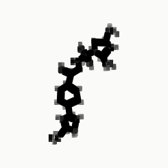 Cc1cn(S(=O)(=O)NCC(=O)c2ccc(-c3noc(C(F)(F)F)n3)cc2)c(C)n1